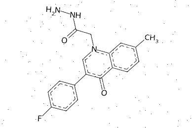 Cc1ccc2c(=O)c(-c3ccc(F)cc3)cn(CC(=O)NN)c2c1